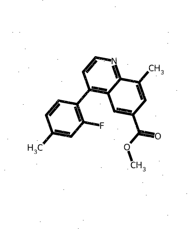 COC(=O)c1cc(C)c2nccc(-c3ccc(C)cc3F)c2c1